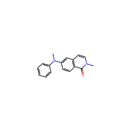 CN(c1ccccc1)c1ccc2c(=O)n(C)ccc2c1